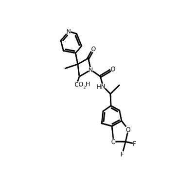 CC(NC(=O)N1C(=O)C(C)(c2ccncc2)C1C(=O)O)c1ccc2c(c1)OC(F)(F)O2